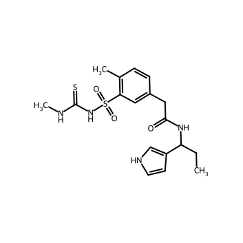 CCC(NC(=O)Cc1ccc(C)c(S(=O)(=O)NC(=S)NC)c1)c1cc[nH]c1